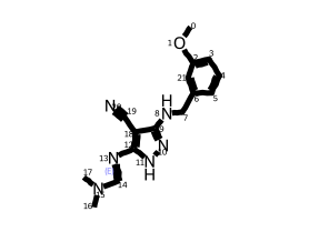 COc1cccc(CNc2n[nH]c(/N=C/N(C)C)c2C#N)c1